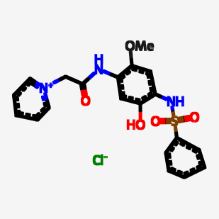 COc1cc(NS(=O)(=O)c2ccccc2)c(O)cc1NC(=O)C[n+]1ccccc1.[Cl-]